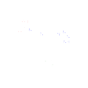 O=C(O)N1CCN(Cc2ccc(C(F)(F)F)cc2-c2nnn[nH]2)CC1